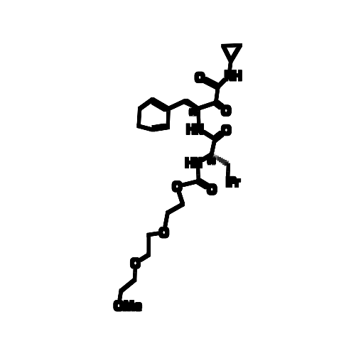 COCCOCCOCCOC(=O)N[C@@H](CC(C)C)C(=O)N[C@@H](CC1=CCCC=C1)C(=O)C(=O)NC1CC1